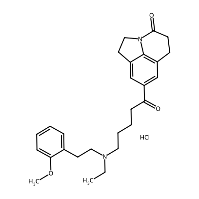 CCN(CCCCC(=O)c1cc2c3c(c1)CCN3C(=O)CC2)CCc1ccccc1OC.Cl